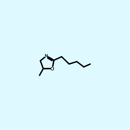 CCCCCC1=NCC(C)O1